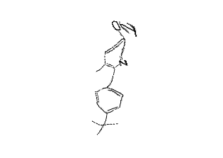 Cc1cc(O)cnc1-c1ccc(C(C)(C)C)cc1